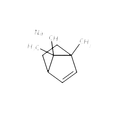 CC12C=CC(CC1)C2(C)C.[Na]